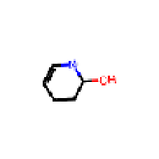 OC1CCC=C[N]1